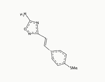 CSc1ccc(C=Cc2noc(N)n2)cc1